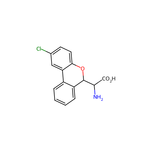 NC(C(=O)O)C1Oc2ccc(Cl)cc2-c2ccccc21